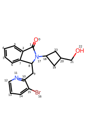 O=C1c2ccccc2C(Cc2ncccc2Br)N1C1CC(CO)C1